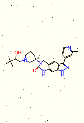 Cc1cc(-c2n[nH]c3cc4c(cc23)CN([C@@H]2CCCN(CC(O)C(C)(C)C)C2)C(=O)N4)ccn1